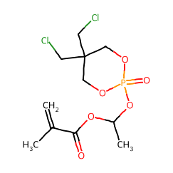 C=C(C)C(=O)OC(C)OP1(=O)OCC(CCl)(CCl)CO1